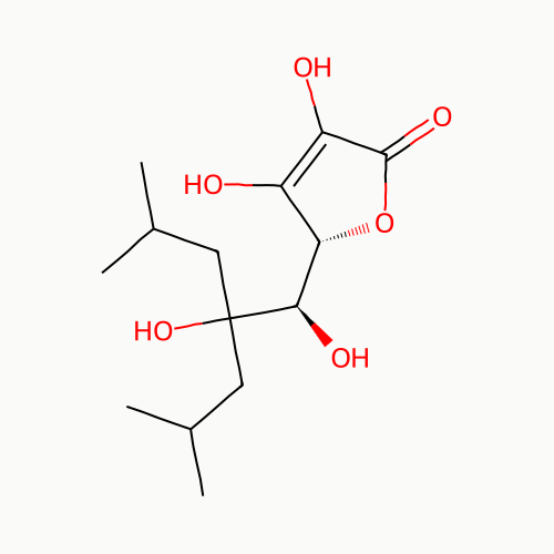 CC(C)CC(O)(CC(C)C)[C@H](O)[C@H]1OC(=O)C(O)=C1O